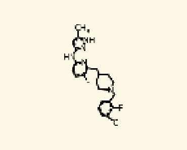 Cc1cc(Nc2ccc(F)c(CC3CCN(Cc4cccc(Cl)c4F)CC3)n2)n[nH]1